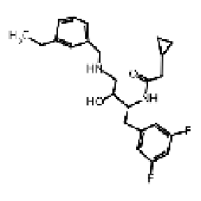 CCc1cccc(CNC[C@H](O)[C@H](Cc2cc(F)cc(F)c2)NC(=O)CC2CC2)c1